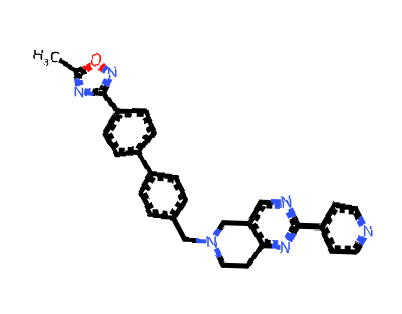 Cc1nc(-c2ccc(-c3ccc(CN4CCc5nc(-c6ccncc6)ncc5C4)cc3)cc2)no1